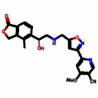 COc1cc(-c2cc(CNC[C@H](O)c3ccc4c(c3C)COC4=O)on2)ncc1C#N